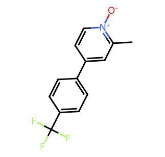 Cc1cc(-c2ccc(C(F)(F)F)cc2)cc[n+]1[O-]